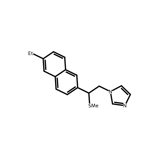 CCc1ccc2cc(C(Cn3ccnc3)SC)ccc2c1